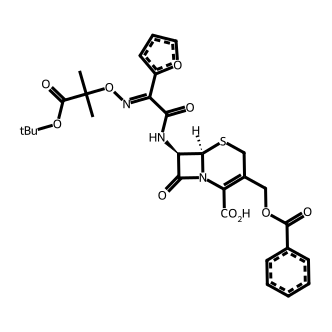 CC(C)(C)OC(=O)C(C)(C)ON=C(C(=O)N[C@@H]1C(=O)N2C(C(=O)O)=C(COC(=O)c3ccccc3)CS[C@H]12)c1ccco1